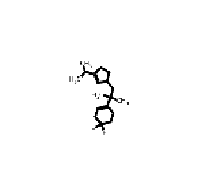 CC(C)C1=CC(CC(C)(C)C2=CCC(F)(F)CC2)CC1